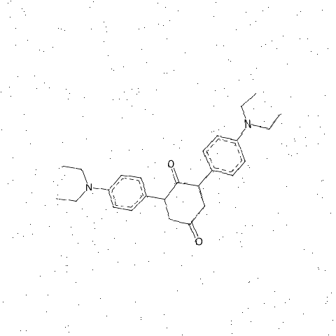 CCN(CC)c1ccc(C2CC(=O)CC(c3ccc(N(CC)CC)cc3)C2=O)cc1